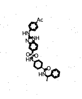 CC(=O)c1ccc(Nc2nc3cc(S(=O)(=O)N[C@H]4CC[C@H](C(=O)N[C@H](C)c5ccccc5)CC4)ccc3[nH]2)cc1